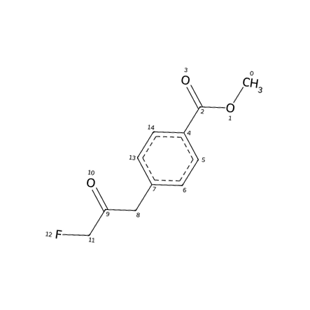 COC(=O)c1ccc(CC(=O)CF)cc1